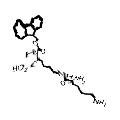 NCCCC[C@H](N)C(=O)NCCCC[C@H](NC(=O)OCC1c2ccccc2-c2ccccc21)C(=O)O